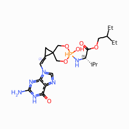 CCC(CC)COC(=O)[C@@H](N[PH]1(O)OCC2(CO1)C/C2=C/n1cnc2c(=O)[nH]c(N)nc21)C(C)C